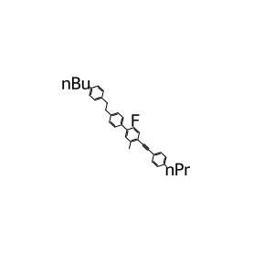 CCCCc1ccc(CCc2ccc(-c3cc(C)c(C#Cc4ccc(CCC)cc4)cc3F)cc2)cc1